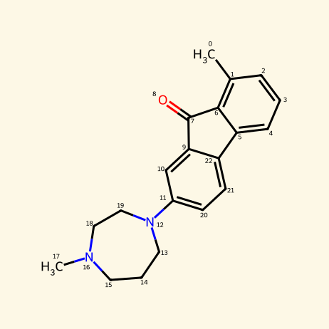 Cc1cccc2c1C(=O)c1cc(N3CCCN(C)CC3)ccc1-2